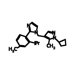 Cc1ccc(-c2nccn2Cc2cnn(C3CCC3)c2C)c(C(C)C)c1